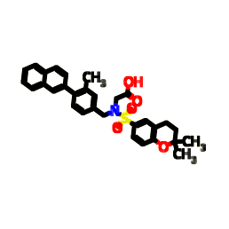 Cc1cc(CN(CC(=O)O)S(=O)(=O)c2ccc3c(c2)CCC(C)(C)O3)ccc1-c1ccc2ccccc2c1